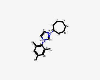 Cc1cc(C)c(-n2cc[n+](C3CCCCCC3)c2)c(C)c1